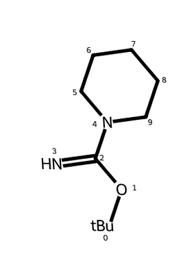 CC(C)(C)OC(=N)N1CCCCC1